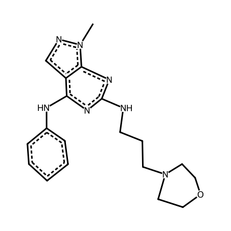 Cn1ncc2c(Nc3ccccc3)nc(NCCCN3CCOCC3)nc21